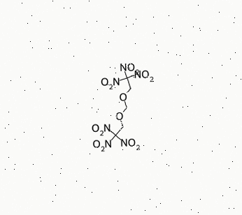 O=[N+]([O-])C(COCOCC([N+](=O)[O-])([N+](=O)[O-])[N+](=O)[O-])([N+](=O)[O-])[N+](=O)[O-]